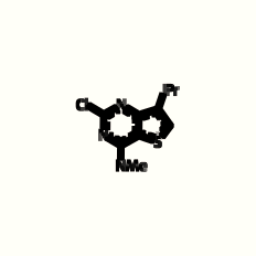 CNc1nc(Cl)nc2c(C(C)C)csc12